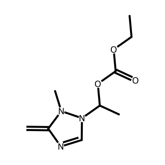 C=C1N=CN(C(C)OC(=O)OCC)N1C